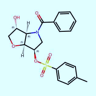 Cc1ccc(S(=O)(=O)O[C@@H]2CN(C(=O)c3ccccc3)[C@H]3[C@@H]2OC[C@@H]3O)cc1